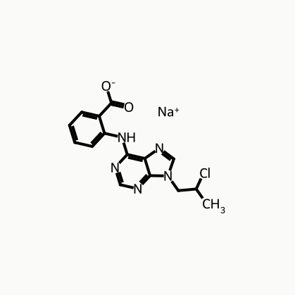 CC(Cl)Cn1cnc2c(Nc3ccccc3C(=O)[O-])ncnc21.[Na+]